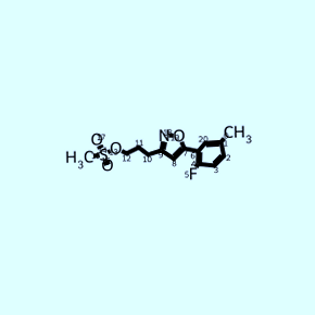 Cc1ccc(F)c(-c2cc(CCCOS(C)(=O)=O)no2)c1